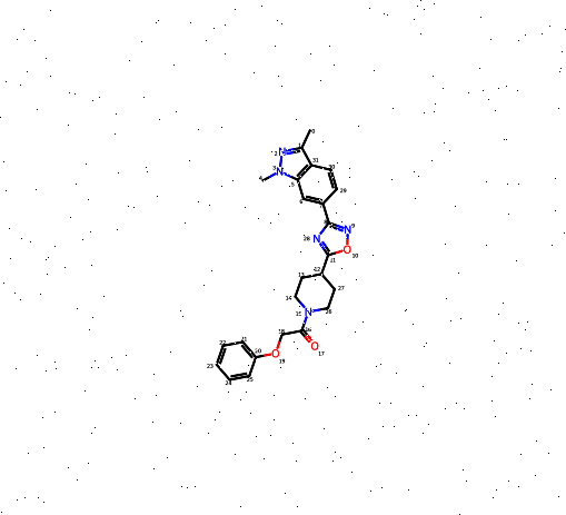 Cc1nn(C)c2cc(-c3noc(C4CCN(C(=O)COc5ccccc5)CC4)n3)ccc12